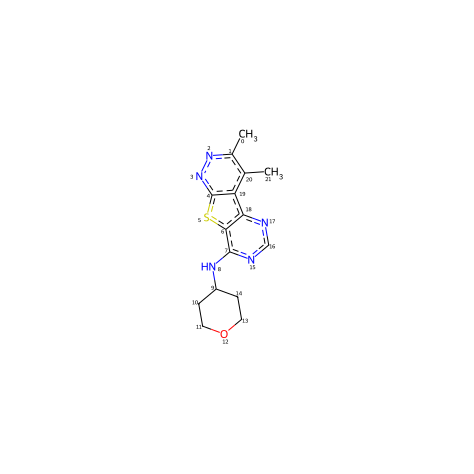 Cc1nnc2sc3c(NC4CCOCC4)ncnc3c2c1C